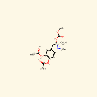 CCCCOC(=O)O[C@](Cc1ccc(OC(=O)CCCC)c(OC(=O)CCCC)c1)(NC(C)CC)C(=O)O